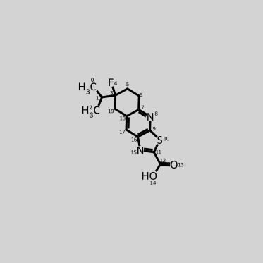 CC(C)C1(F)CCc2nc3sc(C(=O)O)nc3cc2C1